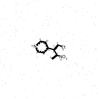 C=C(/C(=C\CC)c1ccncc1)[N+](=O)[O-]